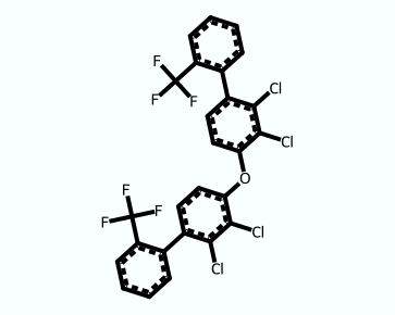 FC(F)(F)c1ccccc1-c1ccc(Oc2ccc(-c3ccccc3C(F)(F)F)c(Cl)c2Cl)c(Cl)c1Cl